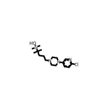 CC(C)(CCCN1CCN(c2ccc(Cl)nc2)CC1)[Si](C)(C)O